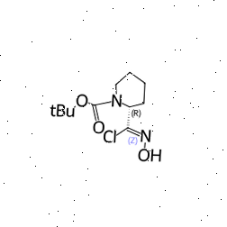 CC(C)(C)OC(=O)N1CCCC[C@@H]1/C(Cl)=N/O